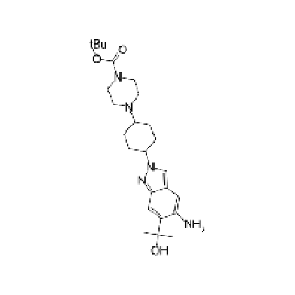 CC(C)(C)OC(=O)N1CCN(C2CCC(n3cc4cc(N)c(C(C)(C)O)cc4n3)CC2)CC1